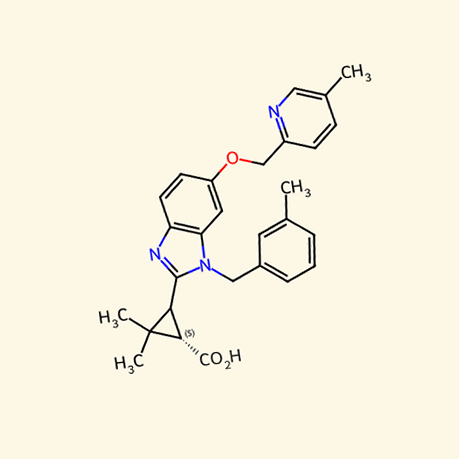 Cc1ccc(COc2ccc3nc(C4[C@H](C(=O)O)C4(C)C)n(Cc4cccc(C)c4)c3c2)nc1